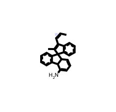 C/C=C\C1=C(C)C2(c3ccccc31)c1ccccc1C1C(N)=CC=CC12